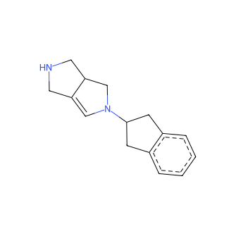 C1=C2CNCC2CN1C1Cc2ccccc2C1